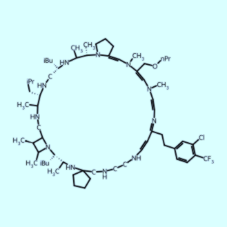 CCCOCC1=CN(C)C=CN=C(CCc2ccc(C(F)(F)F)c(Cl)c2)C=CNCCNCC2(CCCC2)NC(C)[C@H]([C@@H](C)CC)N2C(C)[C@@H](C)C2CNC(C)[C@H](CC(C)C)NC[C@H]([C@@H](C)CC)NC(C)[C@H](C)N2CCCC2=CN1C